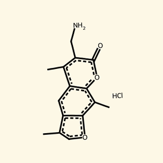 Cc1coc2c(C)c3oc(=O)c(CN)c(C)c3cc12.Cl